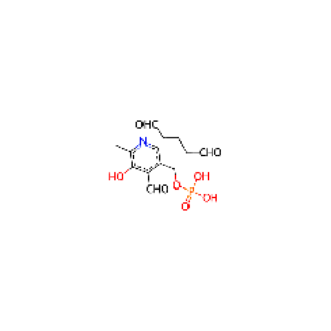 Cc1ncc(COP(=O)(O)O)c(C=O)c1O.O=CCCCC=O